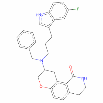 O=C1NCCc2ccc3c(c21)CC(N(CCCc1c[nH]c2ccc(F)cc12)Cc1ccccc1)CO3